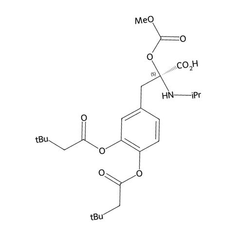 COC(=O)O[C@](Cc1ccc(OC(=O)CC(C)(C)C)c(OC(=O)CC(C)(C)C)c1)(NC(C)C)C(=O)O